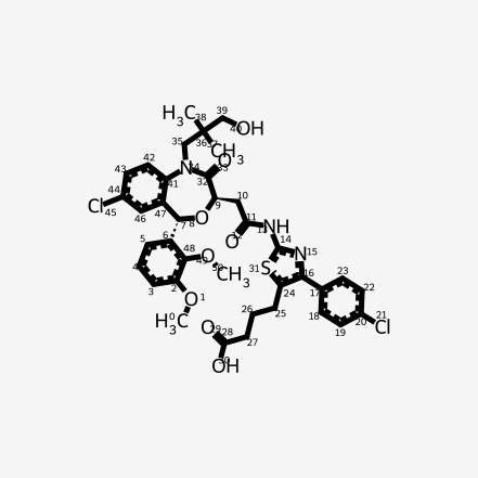 COc1cccc([C@H]2O[C@H](CC(=O)Nc3nc(-c4ccc(Cl)cc4)c(CCCC(=O)O)s3)C(=O)N(CC(C)(C)CO)c3ccc(Cl)cc32)c1OC